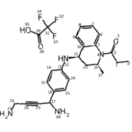 CCC(=O)N1c2ccccc2[C@H](Nc2ccc(C(N)C#CCN)cc2)C[C@@H]1C.O=C(O)C(F)(F)F